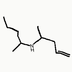 C=CCC(C)NC(C)CCC